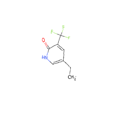 [CH2]Cc1c[nH]c(=O)c(C(F)(F)F)c1